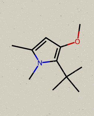 COc1cc(C)n(C)c1C(C)(C)C